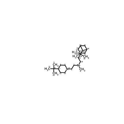 CN(CCN1CCC(C(C)(C)C)CC1)CCC(C)(C)C1C2CC1CN(C)C2